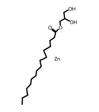 CCCCCCCCCCCCCCCC(=O)OCC(O)CO.[Zn]